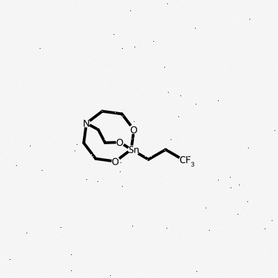 FC(F)(F)C[CH2][Sn]12[O]CCN(CC[O]1)CC[O]2